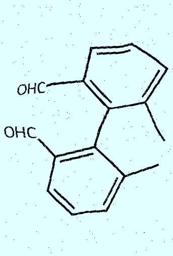 Cc1cccc(C=O)c1-c1c(C)cccc1C=O